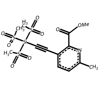 COC(=O)c1nc(C)ccc1C#C[Si](S(C)(=O)=O)(S(C)(=O)=O)S(C)(=O)=O